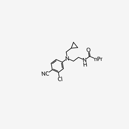 CCCC(=O)NCCN(CC1CC1)c1ccc(C#N)c(Cl)c1